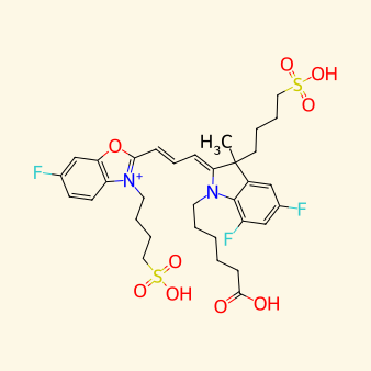 CC1(CCCCS(=O)(=O)O)C(=CC=Cc2oc3cc(F)ccc3[n+]2CCCCS(=O)(=O)O)N(CCCCCC(=O)O)c2c(F)cc(F)cc21